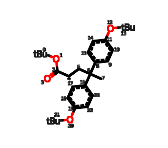 CC(C)(C)OC(=O)CCC(C)(c1ccc(OC(C)(C)C)cc1)c1ccc(OC(C)(C)C)cc1